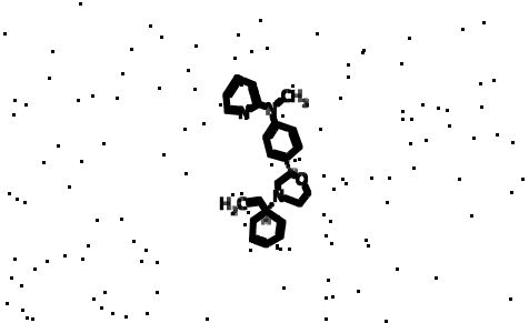 C=C[C@@]1(N2CCO[C@@H](c3ccc(N(C)c4ccccn4)cc3)C2)C=CC=CC1